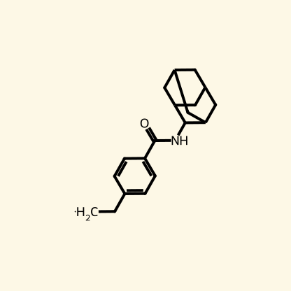 [CH2]Cc1ccc(C(=O)NC2C3CC4CC(C3)CC2C4)cc1